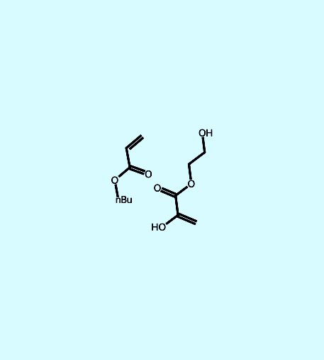 C=C(O)C(=O)OCCO.C=CC(=O)OCCCC